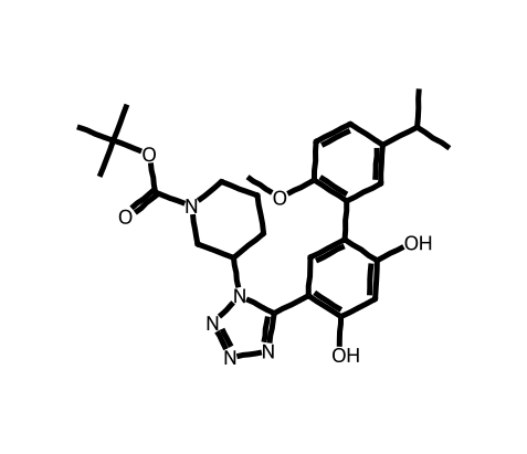 COc1ccc(C(C)C)cc1-c1cc(-c2nnnn2C2CCCN(C(=O)OC(C)(C)C)C2)c(O)cc1O